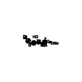 COCCOc1cc2[nH]nc(-c3cc(-c4ccc(C(=O)N5CCN(C6COC6)CC5)cc4)no3)c2cc1F.Cl